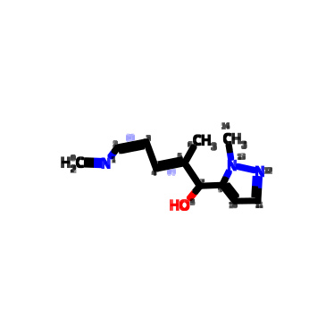 C=N/C=C\C=C(/C)C(O)c1ccnn1C